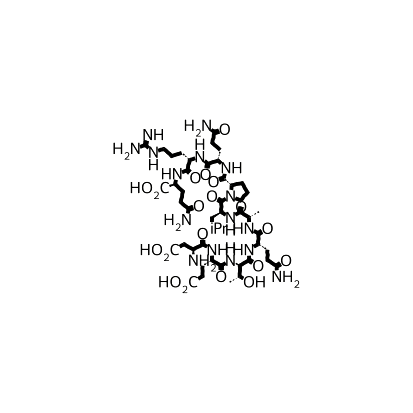 CC(C)C[C@H](NC(=O)[C@H](C)NC(=O)[C@H](CCC(N)=O)NC(=O)[C@@H](NC(=O)[C@H](CCC(=O)O)NC(=O)[C@@H](N)CC(=O)O)[C@@H](C)O)C(=O)N1CCC[C@H]1C(=O)N[C@@H](CCC(N)=O)C(=O)N[C@@H](CCCNC(=N)N)C(=O)N[C@@H](CCC(N)=O)C(=O)O